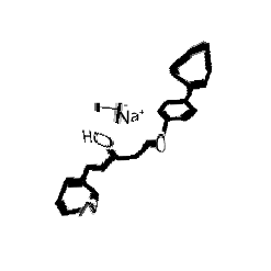 OC(CCOc1ccc(-c2ccccc2)cc1)CCc1cccnc1.[H-].[Na+]